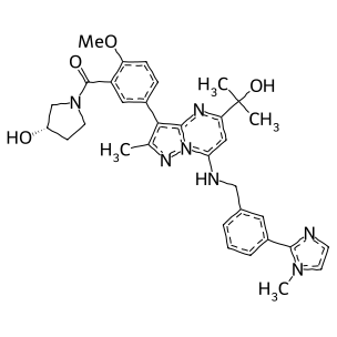 COc1ccc(-c2c(C)nn3c(NCc4cccc(-c5nccn5C)c4)cc(C(C)(C)O)nc23)cc1C(=O)N1CC[C@H](O)C1